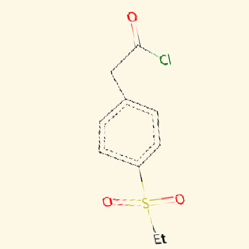 CCS(=O)(=O)c1ccc(CC(=O)Cl)cc1